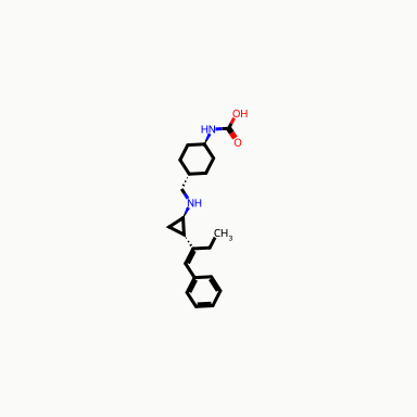 CC/C(=C\c1ccccc1)[C@@H]1C[C@H]1NC[C@H]1CC[C@H](NC(=O)O)CC1